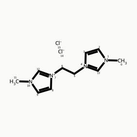 Cn1cc[n+](CC[n+]2ccn(C)c2)c1.[Cl-].[Cl-]